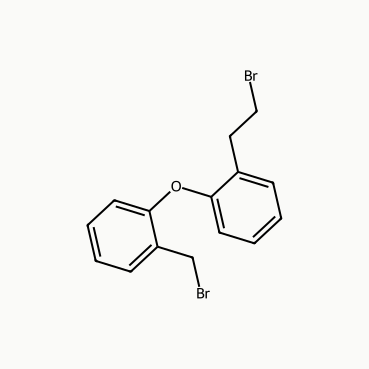 BrCCc1ccccc1Oc1ccccc1CBr